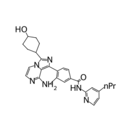 CCCc1ccnc(NC(=O)c2ccc(-c3nc(C4CCC(O)CC4)n4ccnc(N)c34)c(C)c2)c1